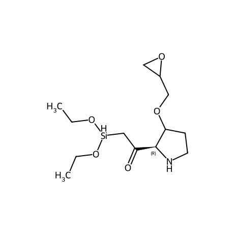 CCO[SiH](CC(=O)[C@@H]1NCCC1OCC1CO1)OCC